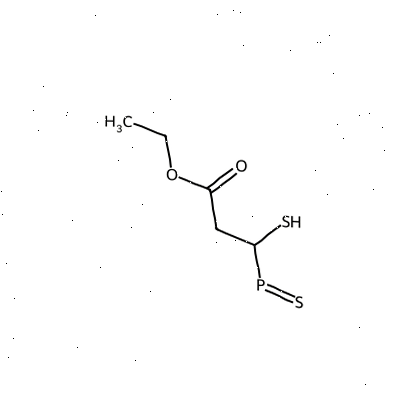 CCOC(=O)CC(S)P=S